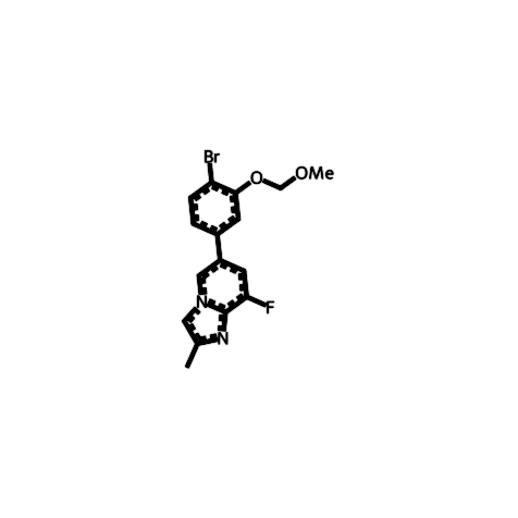 COCOc1cc(-c2cc(F)c3nc(C)cn3c2)ccc1Br